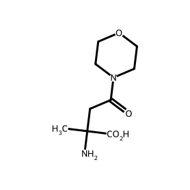 CC(N)(CC(=O)N1CCOCC1)C(=O)O